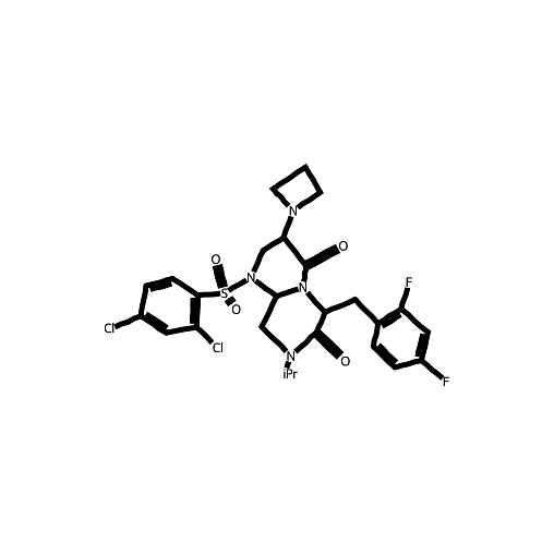 CC(C)N1CC2N(C(=O)C(N3CCC3)CN2S(=O)(=O)c2ccc(Cl)cc2Cl)C(Cc2ccc(F)cc2F)C1=O